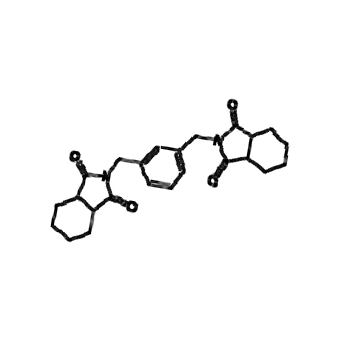 O=C1C2CCCCC2C(=O)N1Cc1cccc(CN2C(=O)C3CCCCC3C2=O)c1